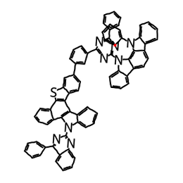 c1ccc(-c2nc(-c3cccc(-c4ccc5c(c4)sc4c6ccccc6c6c(c7ccccc7n6-c6nc(-c7ccccc7)c7ccccc7n6)c54)c3)nc(-n3c4ccccc4c4ccc5c6ccccc6n(-c6ccccc6)c5c43)n2)cc1